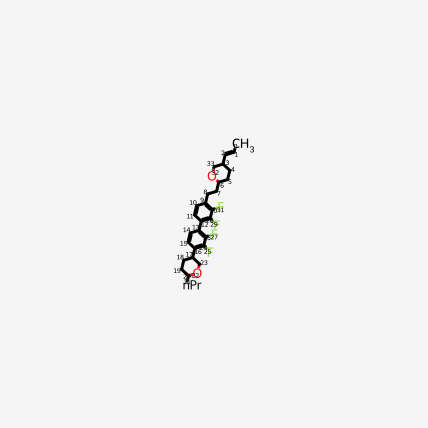 C/C=C/C1CCC(CCc2ccc(-c3ccc(C4CCC(CCC)OC4)c(F)c3F)c(F)c2F)OC1